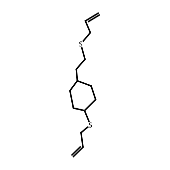 C=CCSCCC1CCC(SCC=C)CC1